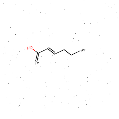 CCCCCC=CC(O)=[Te]